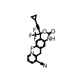 N#Cc1cccnc1Cc1cc2c(cc1F)C(C#CC1CC1)(C(F)(F)F)OC(=O)N2